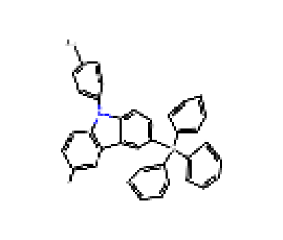 Cc1ccc2c(c1)c1cc([Si](c3ccccc3)(c3ccccc3)c3ccccc3)ccc1n2-c1ccc(C(C)(C)C)cc1